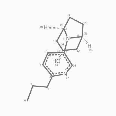 CCCc1ccc(N2[C@@H]3CC[C@H]2C[C@H](O)C3)cn1